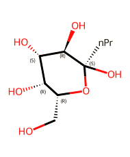 CCC[C@]1(O)O[C@H](CO)[C@H](O)[C@H](O)[C@H]1O